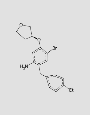 CCc1ccc(Cc2cc(Br)c(O[C@H]3CCOC3)cc2N)cc1